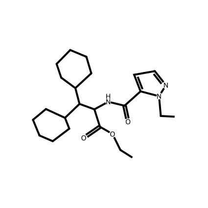 CCOC(=O)C(NC(=O)c1ccnn1CC)C(C1CCCCC1)C1CCCCC1